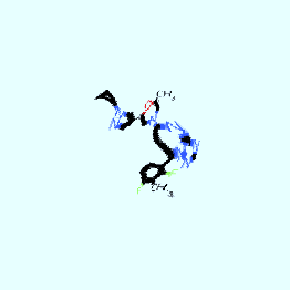 Cc1c(F)ccc(-c2cc(N3C[C@@H](C)O[C@@H](c4cnn(C5CC5)c4)C3)nc3ncnn23)c1F